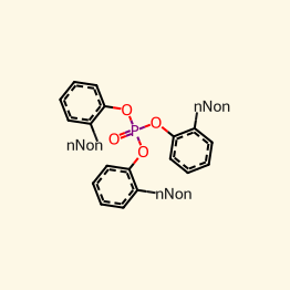 CCCCCCCCCc1ccccc1OP(=O)(Oc1ccccc1CCCCCCCCC)Oc1ccccc1CCCCCCCCC